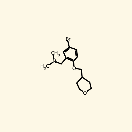 CN(C)Cc1cc(Br)ccc1OCC1CCOCC1